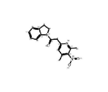 Cc1cc(CC(=O)N2CCc3ccccc32)nc(C)c1[N+](=O)[O-]